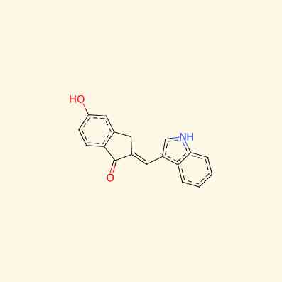 O=C1/C(=C/c2c[nH]c3ccccc23)Cc2cc(O)ccc21